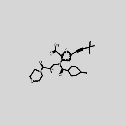 CC1CCC(C(=O)N(C[C@@H](C)C(=O)N2CCOCC2)c2cc(C#CC(C)(C)C)sc2C(=O)O)CC1